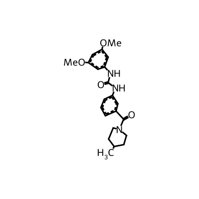 COc1cc(NC(=O)Nc2cccc(C(=O)N3CCC(C)CC3)c2)cc(OC)c1